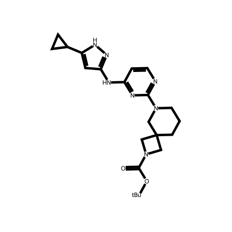 CC(C)(C)OC(=O)N1CC2(CCCN(c3nccc(Nc4cc(C5CC5)[nH]n4)n3)C2)C1